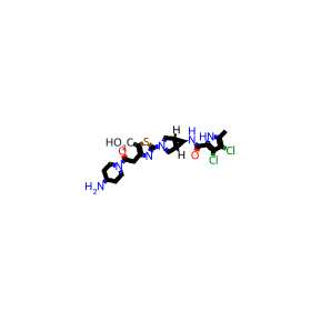 Cc1[nH]c(C(=O)N[C@@H]2[C@@H]3CN(c4nc(CC(=O)N5CCC(N)CC5)c(C(=O)O)s4)C[C@@H]32)c(Cl)c1Cl